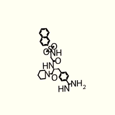 N=C(N)c1ccc(C[C@H](NC(=O)CNS(=O)(=O)c2ccc3ccccc3c2)C(=O)N2CCCCC2)cc1